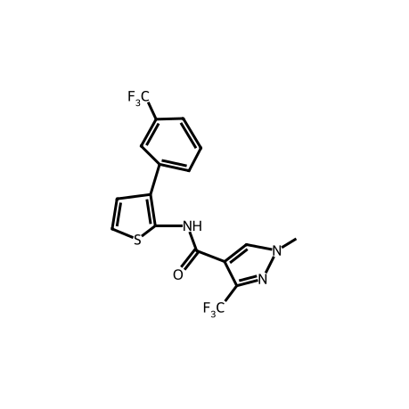 Cn1cc(C(=O)Nc2sccc2-c2cccc(C(F)(F)F)c2)c(C(F)(F)F)n1